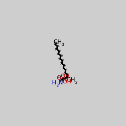 C=C(CCCCCCCCCCCCCCC)C(O)(O)C(N)=O